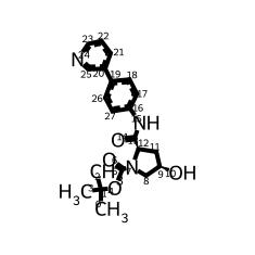 CC(C)(C)OC(=O)N1C[C@H](O)C[C@@H]1C(=O)Nc1ccc(-c2cccnc2)cc1